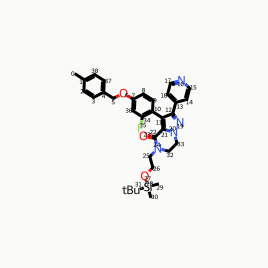 Cc1ccc(COc2ccc(-c3c(-c4ccncc4)nn4c3C(=O)N(CCO[Si](C)(C)C(C)(C)C)CC4)c(F)c2)cc1